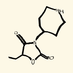 CC1OC(=O)N(C2CCNCC2)C1=O